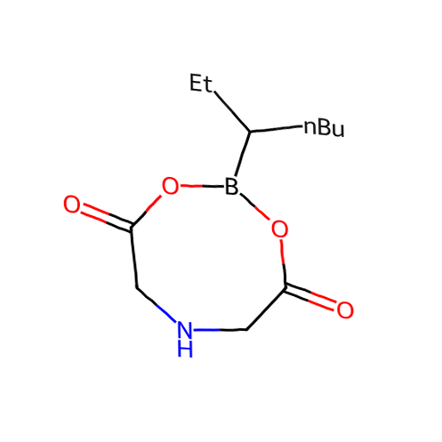 CCCCC(CC)B1OC(=O)CNCC(=O)O1